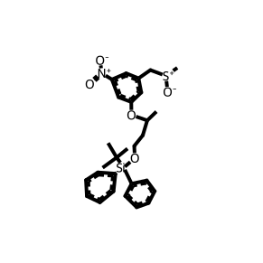 CC(CCO[Si](c1ccccc1)(c1ccccc1)C(C)(C)C)Oc1cc(C[S+](C)[O-])cc([N+](=O)[O-])c1